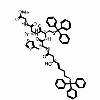 COC(=O)CNC(=O)[C@H](NC(=O)[C@@H](CSC(c1ccccc1)(c1ccccc1)c1ccccc1)NC(=O)[C@@H](Cc1cscn1)NC(=O)C[C@H](O)C=CCCSC(c1ccccc1)(c1ccccc1)c1ccccc1)C(C)C